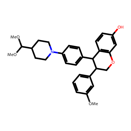 COc1cccc(C2COc3cc(O)ccc3C2c2ccc(N3CCC(C(OC)OC)CC3)cc2)c1